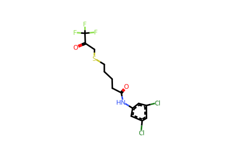 O=C(CCCCSCC(=O)C(F)(F)F)Nc1cc(Cl)cc(Cl)c1